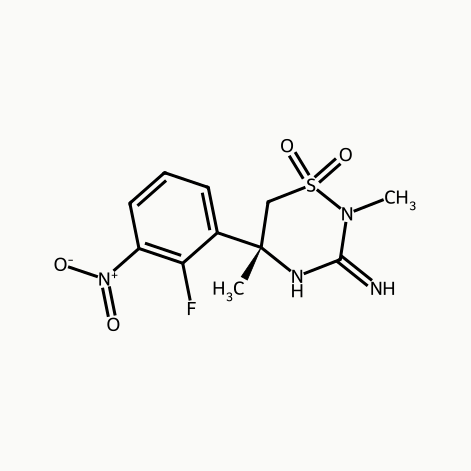 CN1C(=N)N[C@](C)(c2cccc([N+](=O)[O-])c2F)CS1(=O)=O